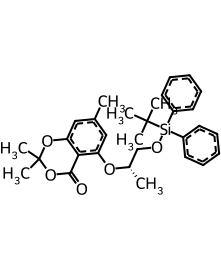 Cc1cc(O[C@@H](C)CO[Si](c2ccccc2)(c2ccccc2)C(C)(C)C)c2c(c1)OC(C)(C)OC2=O